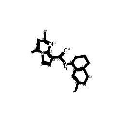 CC1=CC2=C(CCCC2NC(=O)c2ccn3c(C)cc(C)nc23)CC1